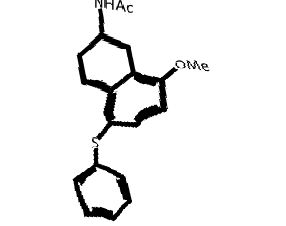 COc1ccc(Sc2ccccc2)c2c1CC(NC(C)=O)CC2